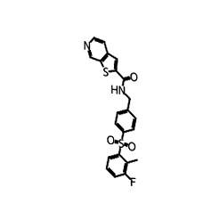 Cc1c(F)cccc1S(=O)(=O)c1ccc(CNC(=O)c2cc3ccncc3s2)cc1